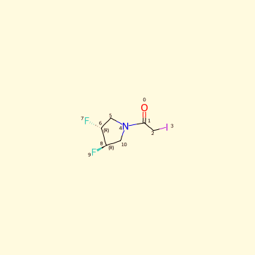 O=C(CI)N1C[C@@H](F)[C@H](F)C1